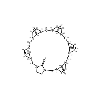 O=C1N2CCN1CN1CCN(CN3CCN(CN4CCN(CN5CCN(CN6CCN(C2)C6=O)C5=O)C4=O)C3=O)C1=O